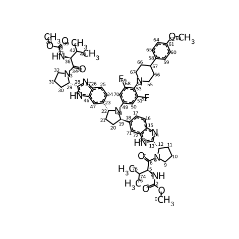 COC(=O)N[C@H](C(=O)N1CCC[C@H]1c1nc2ccc([C@H]3CC[C@H](c4ccc5nc([C@@H]6CCCN6C(=O)[C@@H](NC(=O)OC)C(C)C)[nH]c5c4)N3c3cc(F)c(N4CCC(c5ccc(OC)cc5)CC4)c(F)c3)cc2[nH]1)C(C)C